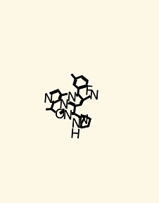 Cc1ccc(F)c(-c2nc3c(cc2C#N)c(N2CC4CCC2CN4)nc(=O)n3-c2c(C)ccnc2C(C)C)c1